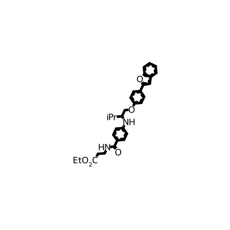 CCOC(=O)CCNC(=O)c1ccc(NC(COc2ccc(-c3cc4ccccc4o3)cc2)C(C)C)cc1